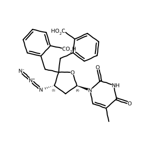 Cc1cn([C@H]2C[C@H](N=[N+]=[N-])C(Cc3ccccc3C(=O)O)(Cc3ccccc3C(=O)O)O2)c(=O)[nH]c1=O